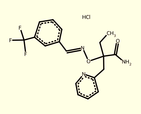 CCC(Cc1ccccn1)(O/N=C/c1cccc(C(F)(F)F)c1)C(N)=O.Cl